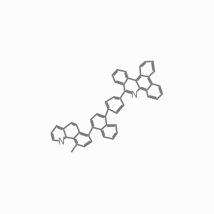 Cc1ccc(-c2ccc(-c3ccc(-c4nc5c6ccccc6c6ccccc6c5c5ccccc45)cc3)c3ccccc23)c2ccc3cccnc3c12